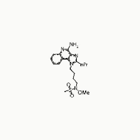 CCCc1nc2c(N)nc3ccccc3c2n1CCCCN(OC)S(C)(=O)=O